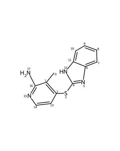 Cc1c(Sc2nc3ccccc3[nH]2)ccnc1N